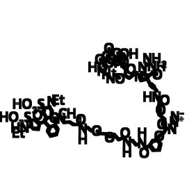 CC/N=c1\ccc2c(-c3ccccc3C(=O)N(C)CCCC(=O)NCCOCCOCCC(=O)NCCNC(=O)c3cccc(OCC(N=[N+]=[N-])OCCOCC(=O)NCC#Cc4cn(C5CC(OCN=[N+]=[N-])C(COP(=O)(O)OP(=O)(O)OP(=O)(O)O)O5)c5nc(N)[nH]c(=O)c45)c3)c3ccc(NCC)c(S(=O)(=O)O)c3oc-2c1S(=O)(=O)O